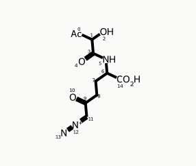 CC(=O)C(O)C(=O)NC(CCC(=O)C=[N+]=[N-])C(=O)O